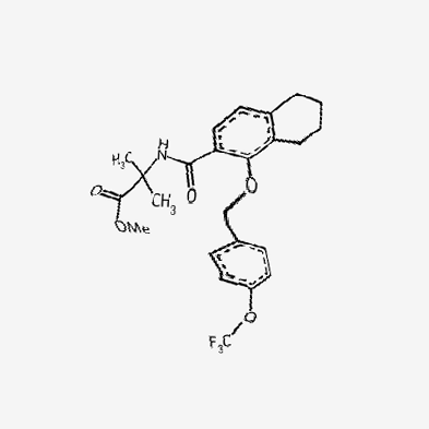 COC(=O)C(C)(C)NC(=O)c1ccc2c(c1OCc1ccc(OC(F)(F)F)cc1)CCCC2